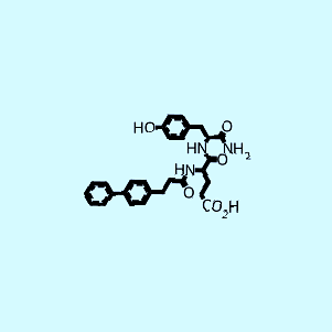 NC(=O)C(Cc1ccc(O)cc1)NC(=O)C(CCC(=O)O)NC(=O)CCc1ccc(-c2ccccc2)cc1